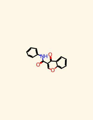 O=C(Nc1ccccc1)c1coc2ccccc2c1=O